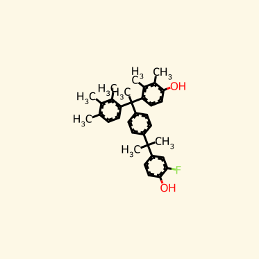 Cc1ccc(C(C)(c2ccc(C(C)(C)c3ccc(O)c(F)c3)cc2)c2ccc(O)c(C)c2C)c(C)c1C